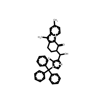 Cc1ccn2c3c(c(C)c2c1)CCC(C(O)c1ncn(C(c2ccccc2)(c2ccccc2)c2ccccc2)c1C)C3=O